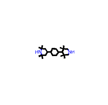 CC1(C)CC(C2CCC(C3C(C)(C)CNCC3(C)C)CC2)CC(C)(C)N1